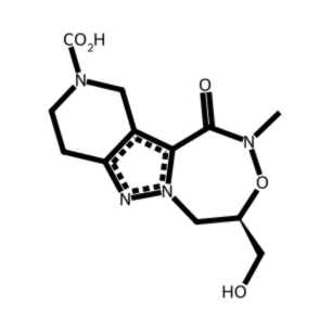 CN1O[C@@H](CO)Cn2nc3c(c2C1=O)CN(C(=O)O)CC3